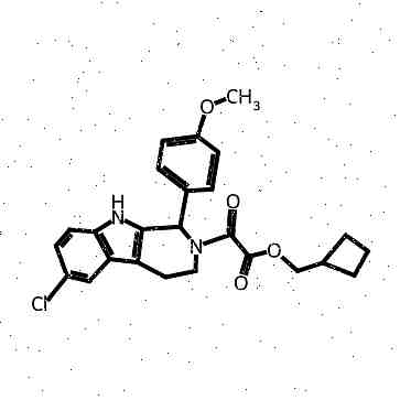 COc1ccc(C2c3[nH]c4ccc(Cl)cc4c3CCN2C(=O)C(=O)OCC2CCC2)cc1